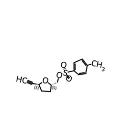 C#C[C@@H]1CC[C@@H](COS(=O)(=O)c2ccc(C)cc2)O1